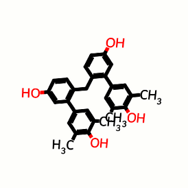 Cc1cc(-c2cc(O)ccc2Cc2ccc(O)cc2-c2cc(C)c(O)c(C)c2)cc(C)c1O